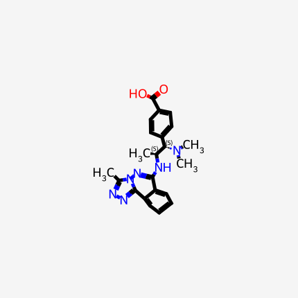 Cc1nnc2c3ccccc3c(N[C@@H](C)[C@H](c3ccc(C(=O)O)cc3)N(C)C)nn12